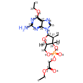 CCOC(=O)CO[P@@]1(=O)OC[C@H]2O[C@@H](n3cnc4c(OCC)nc(N)nc43)[C@@H](C)[C@@H]2O1